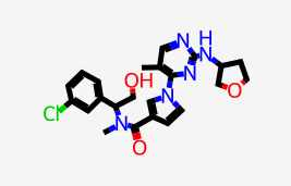 Cc1cnc(NC2CCOC2)nc1-n1ccc(C(=O)N(C)C(CO)c2cccc(Cl)c2)c1